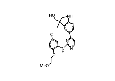 COCCOc1ccc(Cl)cc1Nc1nccc(-c2cnc3c(c2)C(C)(CO)CN3)n1